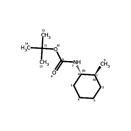 C[C@H]1CC[CH]C[C@@H]1NC(=O)OC(C)(C)C